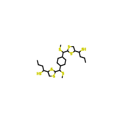 CCCC(S)C1CSC(C(SC)C2CCC(C(SC)C3SCC(C(S)CCC)S3)CC2)S1